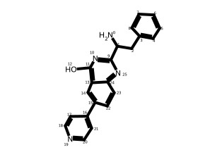 NC(Cc1ccccc1)c1nc(O)c2cc(-c3ccncc3)ccc2n1